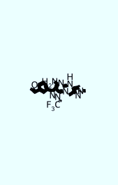 Cc1nn(C)cc1Nc1nc(N)c2c(-c3ccc4occc4c3)nn(CC(F)(F)F)c2n1